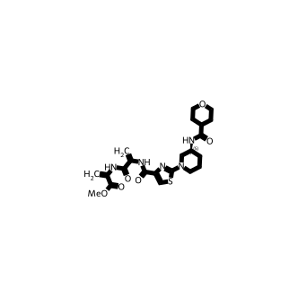 C=C(NC(=O)c1csc(N2CCC[C@H](NC(=O)C3CCOCC3)C2)n1)C(=O)NC(=C)C(=O)OC